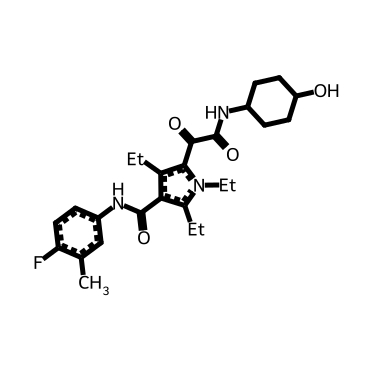 CCc1c(C(=O)Nc2ccc(F)c(C)c2)c(CC)n(CC)c1C(=O)C(=O)NC1CCC(O)CC1